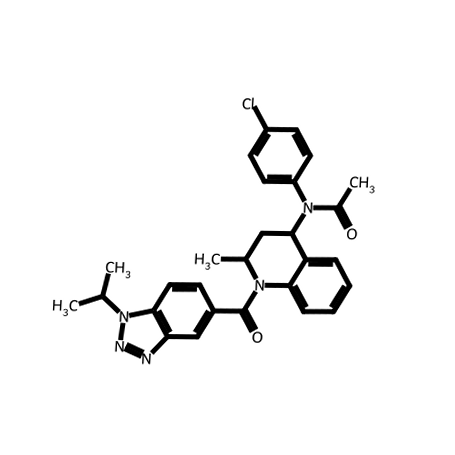 CC(=O)N(c1ccc(Cl)cc1)C1CC(C)N(C(=O)c2ccc3c(c2)nnn3C(C)C)c2ccccc21